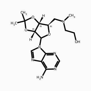 CN(CCO)C[C@H]1OC(n2cnc3c(N)ncnc32)[C@@H]2OC(C)(C)O[C@H]12